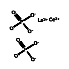 O=P([O-])([O-])[O-].O=P([O-])([O-])[O-].[Ce+3].[La+3]